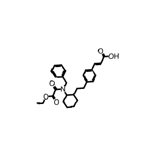 CCOC(=O)C(=O)N(Cc1ccccc1)C1CCCCC1CCc1ccc(/C=C/C(=O)O)cc1